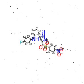 O=C(c1cc(-c2ccccc2Nc2ccc(F)cc2)[nH]n1)S(=O)(=O)c1ccc([N+](=O)[O-])cc1